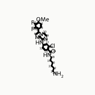 COc1ccc(-c2cnc3c(Nc4ccc(C(=O)NCCCCCCN)c(Cl)c4)nccn23)c(F)c1F